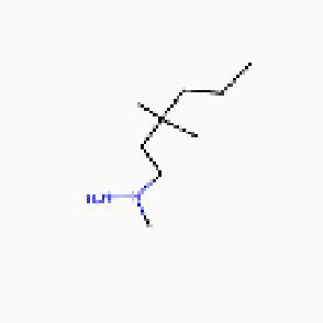 CCCC(C)(C)CCN(C)N